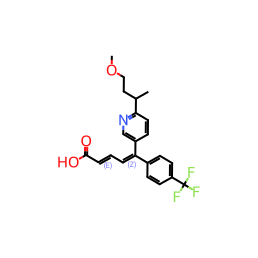 COCCC(C)c1ccc(/C(=C\C=C\C(=O)O)c2ccc(C(F)(F)F)cc2)cn1